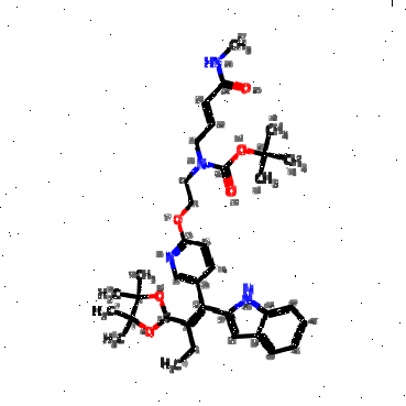 CC/C(B1OC(C)(C)C(C)(C)O1)=C(/c1ccc(OCCN(C/C=C/C(=O)NC)C(=O)OC(C)(C)C)nc1)c1cc2ccccc2[nH]1